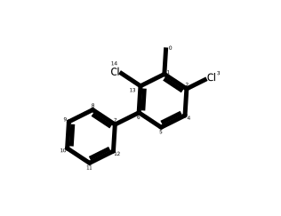 Cc1c(Cl)ccc(-c2ccccc2)c1Cl